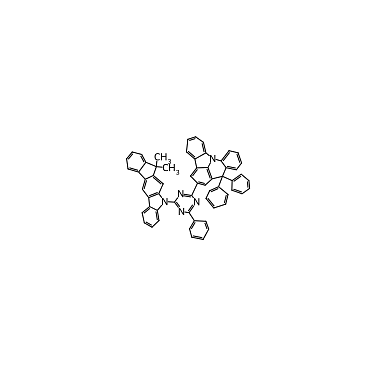 CC1(C)c2ccccc2-c2cc3c4ccccc4n(-c4nc(-c5ccccc5)nc(-c5cc6c7c(c5)c5ccccc5n7-c5ccccc5C6(c5ccccc5)c5ccccc5)n4)c3cc21